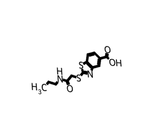 CCCNC(=O)CSc1nc2cc(C(=O)O)ccc2s1